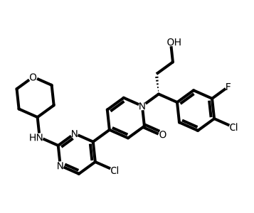 O=c1cc(-c2nc(NC3CCOCC3)ncc2Cl)ccn1[C@H](CCO)c1ccc(Cl)c(F)c1